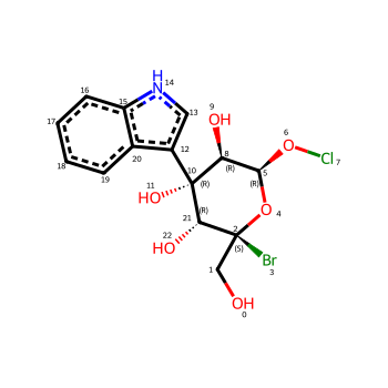 OC[C@@]1(Br)O[C@H](OCl)[C@H](O)[C@](O)(c2c[nH]c3ccccc23)[C@H]1O